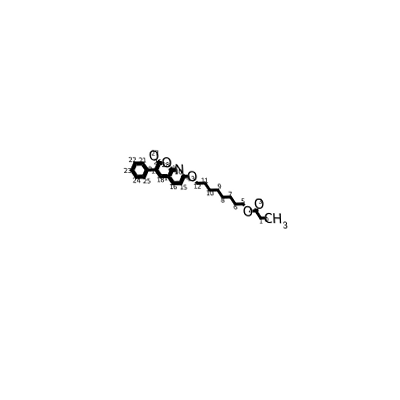 CCC(=O)OCCCCCCCCOc1ccc2cc(-c3ccccc3)c(=O)oc2n1